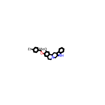 CCc1ccc(COc2cc3c(cc2OC)C2Cc4c([nH]c5ccccc45)CN2CC3)cc1